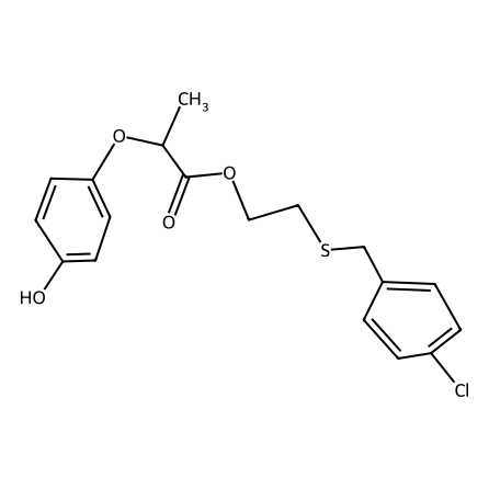 CC(Oc1ccc(O)cc1)C(=O)OCCSCc1ccc(Cl)cc1